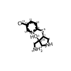 NC[C@@]1(O)CNC[C@@H]1Sc1ccc(Cl)cn1